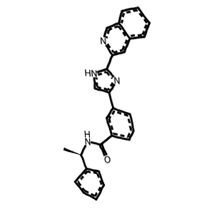 C[C@@H](NC(=O)c1cccc(-c2c[nH]c(-c3cc4ccccc4cn3)n2)c1)c1ccccc1